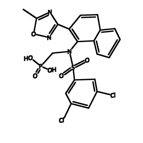 Cc1nc(-c2ccc3ccccc3c2N(CP(=O)(O)O)S(=O)(=O)c2cc(Cl)cc(Cl)c2)no1